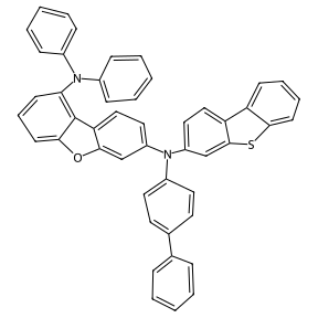 c1ccc(-c2ccc(N(c3ccc4c(c3)oc3cccc(N(c5ccccc5)c5ccccc5)c34)c3ccc4c(c3)sc3ccccc34)cc2)cc1